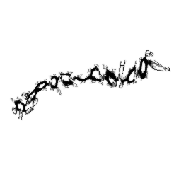 N#Cc1ccc(N2CCC(C(=O)Nc3ccc(N4CCC(CCN5CCN(C6CCN(c7ccc8c(c7)C(=O)N(C7CCC(=O)NC7=O)C8=O)CC6)CC5)CC4)cn3)CC2)cc1C(F)(F)F